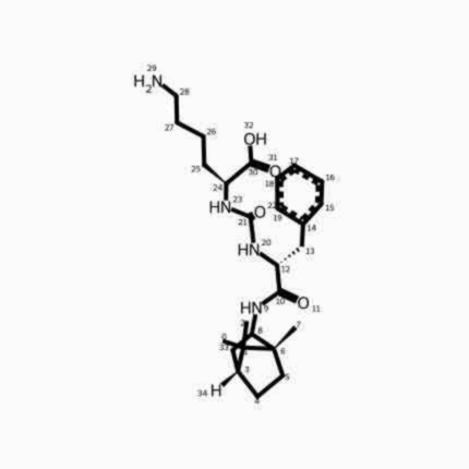 CC1(C)[C@@H]2CC[C@@]1(C)C(NC(=O)[C@@H](Cc1ccccc1)NC(=O)N[C@@H](CCCCN)C(=O)O)C2